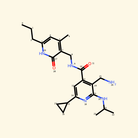 CCCc1cc(C)c(CNC(=O)c2cc(C3CC3)nc(NC(C)C)c2CN)c(=O)[nH]1